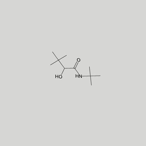 CC(C)(C)NC(=O)C(O)C(C)(C)C